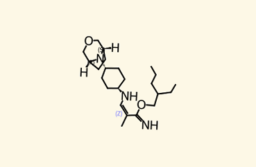 CCCC(CC)COC(=N)/C(C)=C\N[C@H]1CC[C@H](N2[C@@H]3CC[C@H]2COC3)CC1